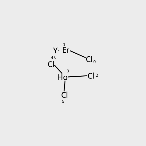 [Cl][Er].[Cl][Ho]([Cl])[Cl].[Y]